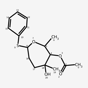 CC(=O)OC1C(C)OC(Sc2ccccc2)CCC1(C)O